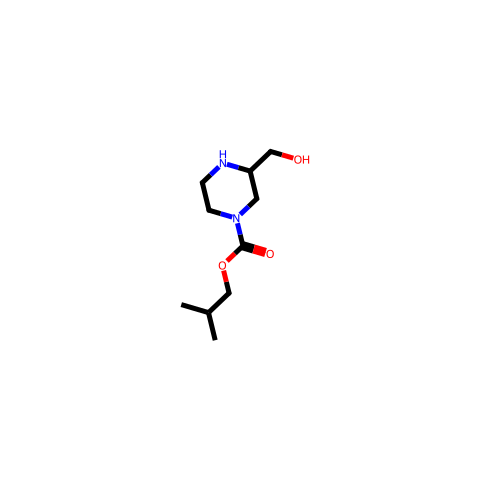 CC(C)COC(=O)N1CCNC(CO)C1